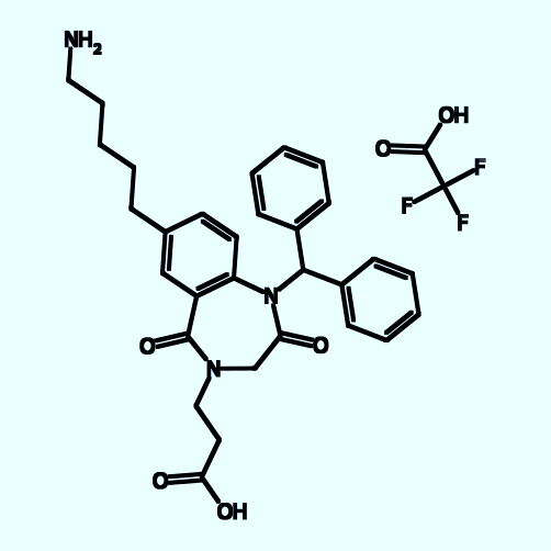 NCCCCCc1ccc2c(c1)C(=O)N(CCC(=O)O)CC(=O)N2C(c1ccccc1)c1ccccc1.O=C(O)C(F)(F)F